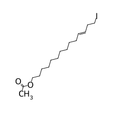 CC(=O)OCCCCCCCCCCC=CCCI